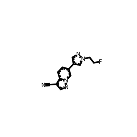 N#Cc1cnn2cc(-c3cnn(CCF)c3)ccc12